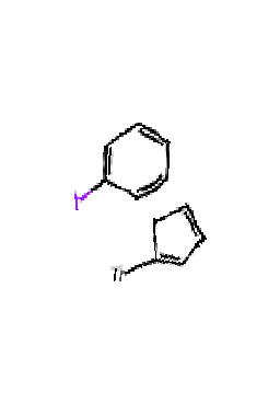 Ic1ccccc1.[Ti][C]1=CC=CC1